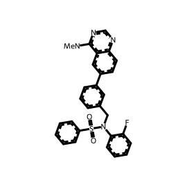 CNc1ncnc2ccc(-c3cccc(CN(c4ccccc4F)S(=O)(=O)c4ccccc4)c3)cc12